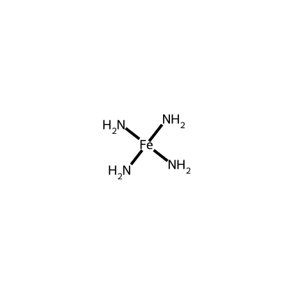 [NH2][Fe]([NH2])([NH2])[NH2]